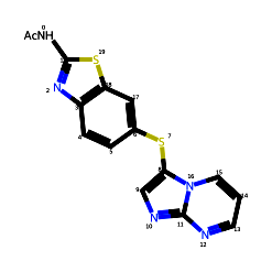 CC(=O)Nc1nc2ccc(Sc3cnc4ncccn34)cc2s1